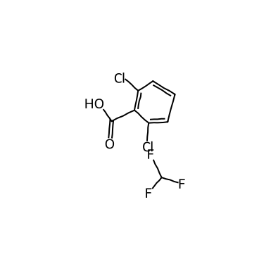 FC(F)F.O=C(O)c1c(Cl)cccc1Cl